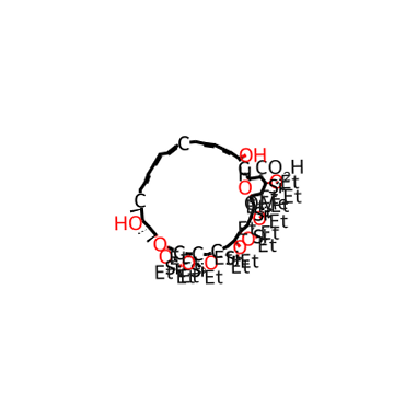 CC[Si](CC)(CC)OC1CCC(O[Si](CC)(CC)CC)C(O[Si](CC)(CC)CC)C[C@H](O[Si](CC)(CC)CC)CC2(OC)C[C@H](O[Si](CC)(CC)CC)C(C(=O)O)[C@H](CC(O)/C=C/C=C/CC/C=C/C=C/C=C/CC[C@H](C)C(O)[C@@H](C)[C@H](C)OC(=O)C[C@H](O[Si](CC)(CC)CC)C1)O2